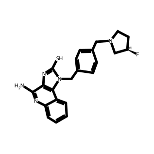 Nc1nc2ccccc2c2c1nc(S)n2Cc1ccc(CN2CC[C@@H](F)C2)cc1